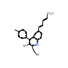 Cc1ccc(-c2c(C#N)c(CC(C)C)nc3ccc(C=CC=CC(=O)O)cc23)cc1